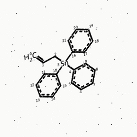 C=C[CH2][Sn]([c]1ccccc1)([c]1ccccc1)[c]1ccccc1